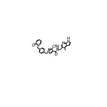 Cc1c(CNC(=O)c2cn(Cc3ccc(Cn4ccccc4=O)cc3)nc2C(F)(F)F)cnc2[nH]ccc12